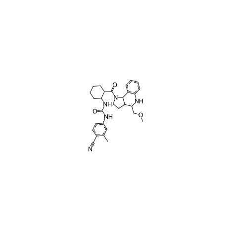 COCC1Nc2ccccc2C2C1CCN2C(=O)C1CCCCC1NC(=O)Nc1ccc(C#N)c(C)c1